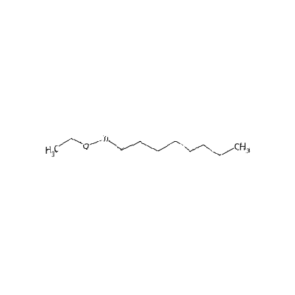 CCCCCCC[CH2][Ti][O]CC